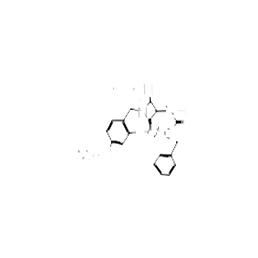 COc1ccc(CN2C(=O)C(NC(=O)OCc3ccccc3)C2C(=O)O)c(OC)c1